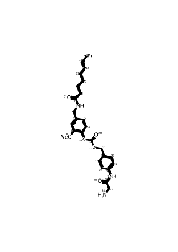 COc1cc(CNC(=O)CCCC/C=C/C(C)C)ccc1OC(=O)OCc1ccc(NC(=O)CN)cc1